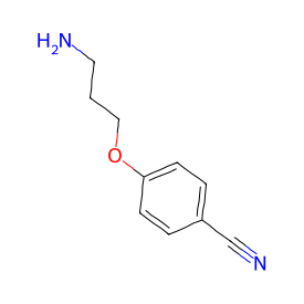 N#Cc1ccc(OCCCN)cc1